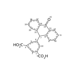 O=C(O)c1cc(C(=O)O)cc(C2c3ccccc3C(=O)c3ccccc32)c1